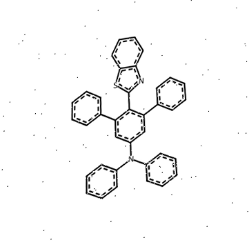 c1ccc(-c2cc(N(c3ccccc3)c3ccccc3)cc(-c3ccccc3)c2-c2nc3ccccc3s2)cc1